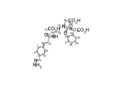 CC(=O)O.NN=Cc1ccc(C=CC(=O)NCCCN(CC(=O)O)C(=O)NC(C(=O)O)c2ccccc2)cc1